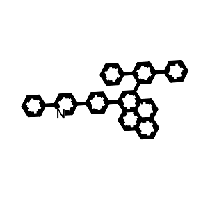 c1ccc(-c2ccc(-c3ccccc3)c(-c3cc(-c4ccc(-c5ccc(-c6ccccc6)nc5)cc4)c4ccc5cccc6ccc3c4c56)c2)cc1